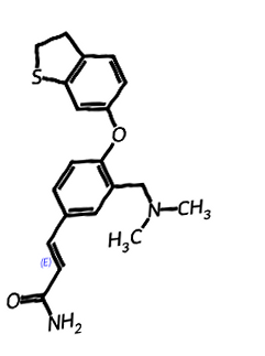 CN(C)Cc1cc(/C=C/C(N)=O)ccc1Oc1ccc2c(c1)SCC2